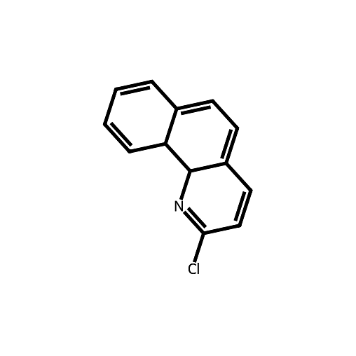 ClC1=NC2C(=CC=C3C=CC=CC32)C=C1